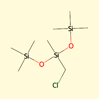 C[Si](C)(C)O[Si](C)(CCl)O[Si](C)(C)C